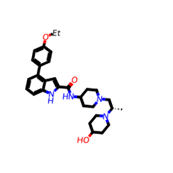 CCOc1ccc(-c2cccc3[nH]c(C(=O)NC4CCN(C[C@H](C)N5CCC(O)CC5)CC4)cc23)cc1